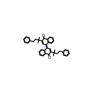 CC(C)(CCc1ccccc1)C1=C/C(=C2/C=C(C(C)(C)CCc3ccccc3)C(=O)c3ccccc32)c2ccccc2C1=O